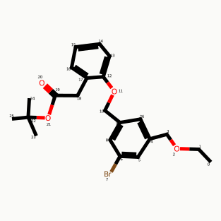 CCOCc1cc(Br)cc(COc2ccccc2CC(=O)OC(C)(C)C)c1